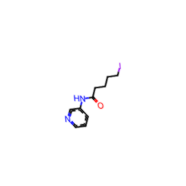 O=C(CCCCI)Nc1cccnc1